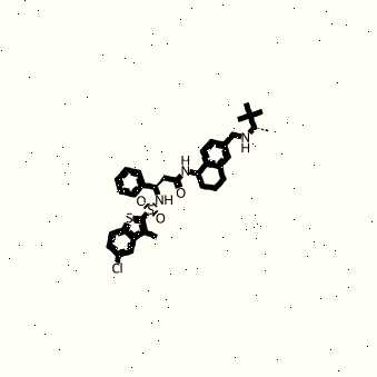 Cc1c(S(=O)(=O)N[C@H](CC(=O)NC2CCCc3cc(CN[C@@H](C)C(C)(C)C)ccc32)c2ccccc2)sc2ccc(Cl)cc12